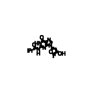 CC(C)C(=O)Nc1nc2c(ncn2[C@H]2C[C@H](O)[C@@H](C)O2)c(=O)[nH]1